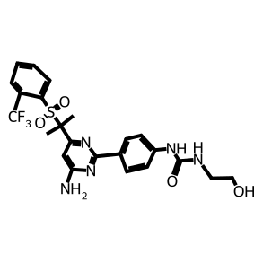 CC(C)(c1cc(N)nc(-c2ccc(NC(=O)NCCO)cc2)n1)S(=O)(=O)c1ccccc1C(F)(F)F